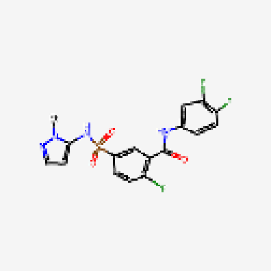 CCn1nccc1NS(=O)(=O)c1ccc(F)c(C(=O)Nc2ccc(F)c(F)c2)c1